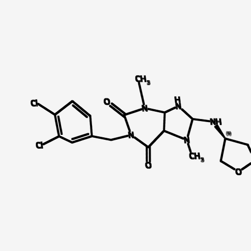 CN1C(=O)N(Cc2ccc(Cl)c(Cl)c2)C(=O)C2C1NC(N[C@H]1CCOC1)N2C